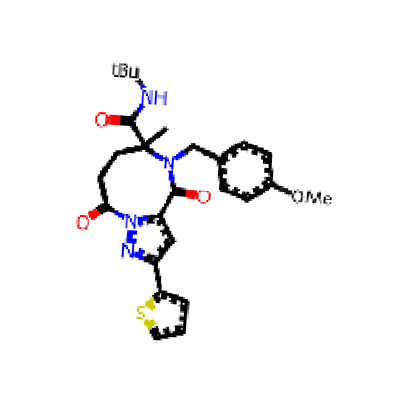 COc1ccc(CN2C(=O)c3cc(-c4cccs4)nn3C(=O)CCC2(C)C(=O)NC(C)(C)C)cc1